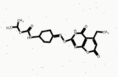 CCc1cc(=O)oc2nc(ON=C3CCC(NC(=O)OC(C)C)CC3)[nH]c(=O)c12